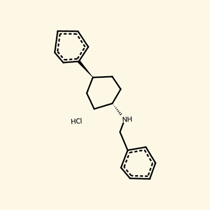 Cl.c1ccc(CN[C@H]2CC[C@H](c3ccccc3)CC2)cc1